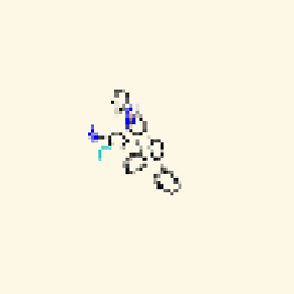 N#Cc1cc(C#N)c2c(c1F)-c1ccccc1C21c2cc(-c3ccccc3)ccc2-c2ccc(-c3ccccc3)cc21